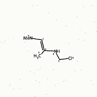 CN/C=C(\C)NCCl